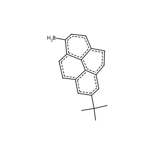 Bc1ccc2ccc3cc(C(C)(C)C)cc4ccc1c2c34